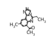 CCc1nc2c(C(C)=O)cc(C)cc2c2nncn12